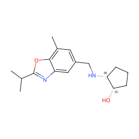 Cc1cc(CN[C@@H]2CCC[C@@H]2O)cc2nc(C(C)C)oc12